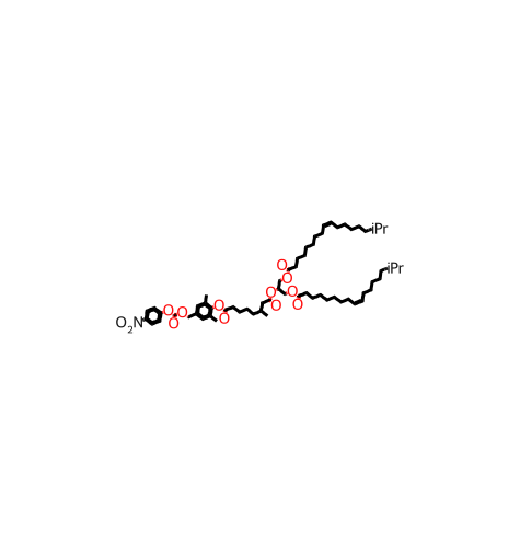 Cc1cc(COC(=O)Oc2ccc([N+](=O)[O-])cc2)cc(C)c1OC(=O)CCCCC(C)CC(=O)OC(COC(=O)CCCCCCC/C=C\CCCCCC(C)C)COC(=O)CCCCCCC/C=C\CCCCCC(C)C